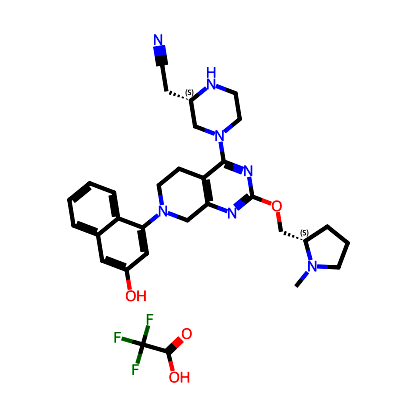 CN1CCC[C@H]1COc1nc2c(c(N3CCN[C@@H](CC#N)C3)n1)CCN(c1cc(O)cc3ccccc13)C2.O=C(O)C(F)(F)F